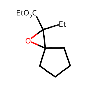 CCOC(=O)C1(CC)OC12CCCC2